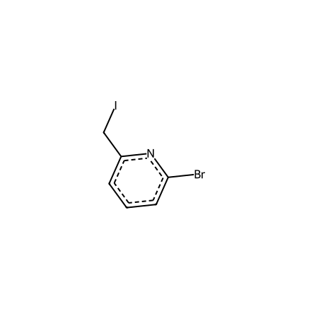 Brc1cccc(CI)n1